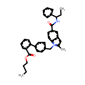 CCCCOC(=O)c1ccccc1-c1ccc(Cn2c(C)cc3cc(C(=O)NC(CC)c4ccccc4)ccc32)cc1